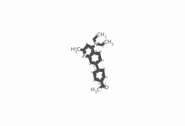 CCN(CC)c1cc(C)nc2cc(-c3ccc(C(C)=O)cc3)ccc12